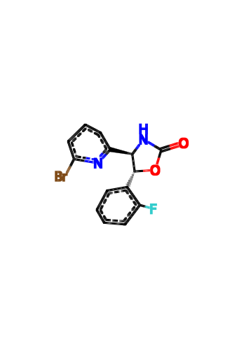 O=C1N[C@H](c2cccc(Br)n2)[C@@H](c2ccccc2F)O1